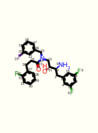 N[C@@H](Cc1cc(F)cc(F)c1)[C@H](O)CN(Cc1cccc(I)c1)C(=O)CCc1ccccc1F